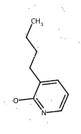 CCCCc1cccnc1[O]